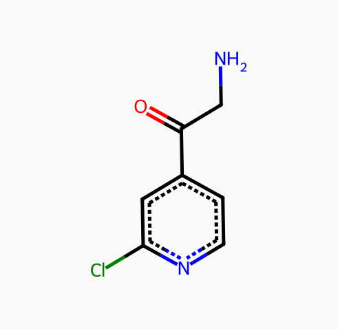 NCC(=O)c1ccnc(Cl)c1